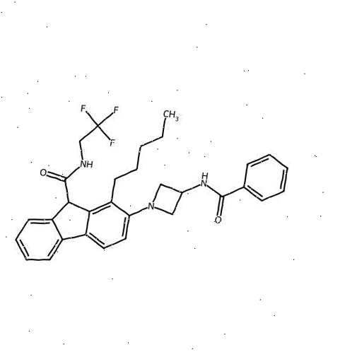 CCCCCc1c(N2CC(NC(=O)c3ccccc3)C2)ccc2c1C(C(=O)NCC(F)(F)F)c1ccccc1-2